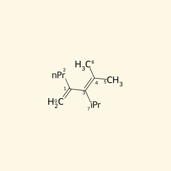 C=C(CCC)C(=C(C)C)C(C)C